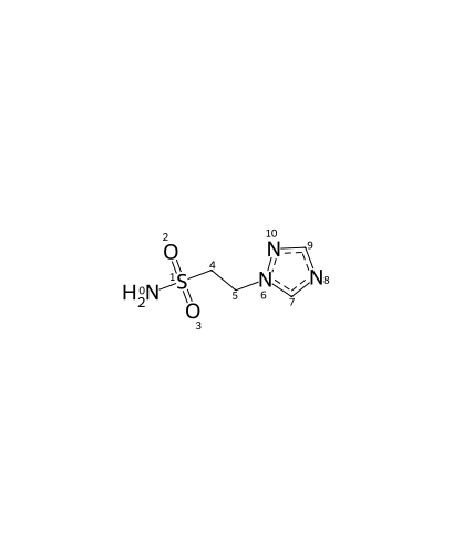 NS(=O)(=O)CCn1cncn1